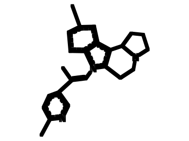 CC(=Cn1c2c(c3cc(C)ccc31)C1CCCN1CC2)c1ccc(C)nc1